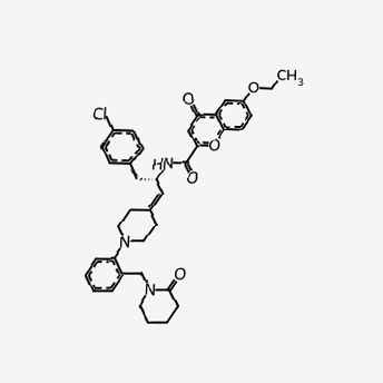 CCOc1ccc2oc(C(=O)N[C@H](C=C3CCN(c4ccccc4CN4CCCCC4=O)CC3)Cc3ccc(Cl)cc3)cc(=O)c2c1